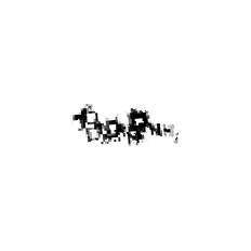 CC(C)(C)OC(=O)N1CCC(n2ncc3c(N)cccc32)CC1